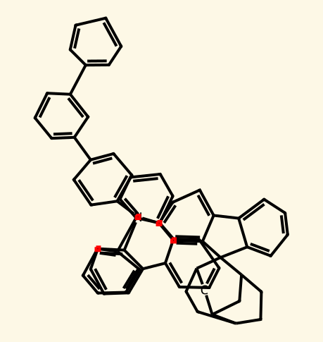 c1ccc(-c2cccc(-c3ccc(N(c4ccc5c(c4)C4(c6ccccc6-5)C5CCC6CCC4CC6C5)c4ccccc4-c4ccccc4-c4ccccc4-c4ccccc4)cc3)c2)cc1